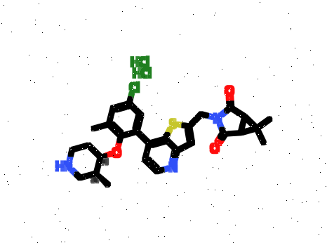 Cc1cc(Cl)cc(-c2ccnc3cc(CN4C(=O)C5C(C4=O)C5(C)C)sc23)c1O[C@@H]1CCNC[C@@H]1C.Cl.Cl